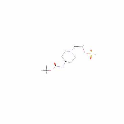 CC(CN1CCC(NC(=O)OC(C)(C)C)CC1)OS(C)(=O)=O